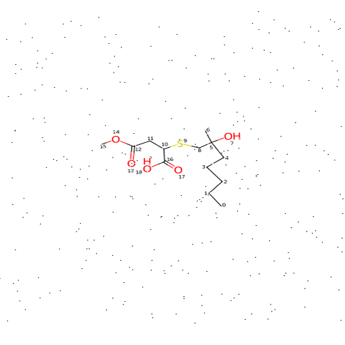 CCCCCC(C)(O)CSC(CC(=O)OC)C(=O)O